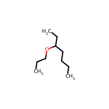 [CH2]CC(CCCC)OCCC